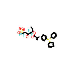 C=C(C)C(=O)OC(CC)C(F)(F)C(=O)CC(F)(F)S(=O)(=O)[O-].c1ccc([S+](c2ccccc2)c2ccccc2)cc1